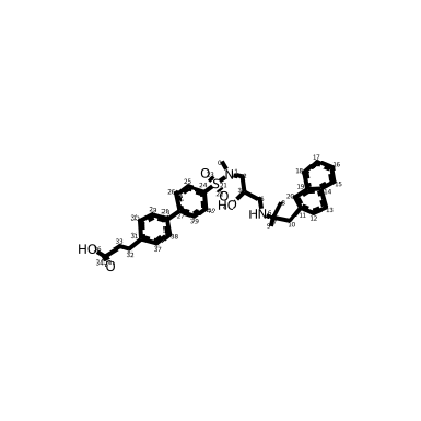 CN(CC(O)CNC(C)(C)Cc1ccc2ccccc2c1)S(=O)(=O)c1ccc(-c2ccc(CCC(=O)O)cc2)cc1